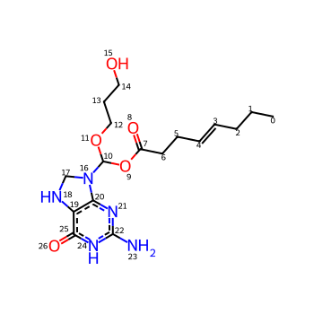 CCCC=CCCC(=O)OC(OCCCO)N1CNc2c1nc(N)[nH]c2=O